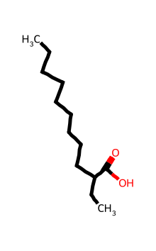 CCCCCCCCCC(CC)C(=O)O